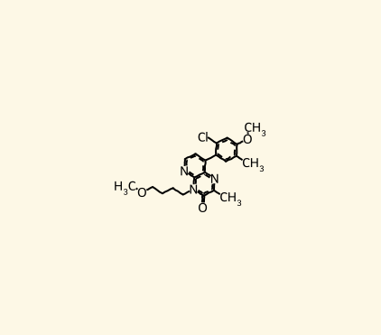 COCCCCn1c(=O)c(C)nc2c(-c3cc(C)c(OC)cc3Cl)ccnc21